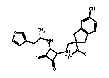 C[C@@H](Cc1ccsc1)N[C@@H]1C(=O)C(=O)C1NCC1(N(C)C)Cc2ccc(O)cc2C1